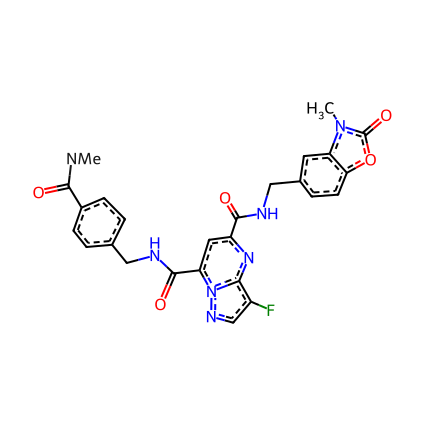 CNC(=O)c1ccc(CNC(=O)c2cc(C(=O)NCc3ccc4oc(=O)n(C)c4c3)nc3c(F)cnn23)cc1